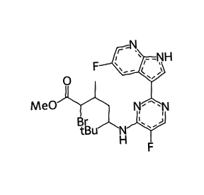 COC(=O)C(Br)C(C)CC(Nc1nc(-c2c[nH]c3ncc(F)cc23)ncc1F)C(C)(C)C